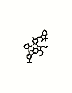 C=CCc1c(/C=C\C)c2cc3c4cc(C(C)C)ccc4n4c3c3c2n1-c1cc(/C=C2\C(=C)C(C)(C)c5ccccc52)c(C)cc1B3c1ccccc1-4